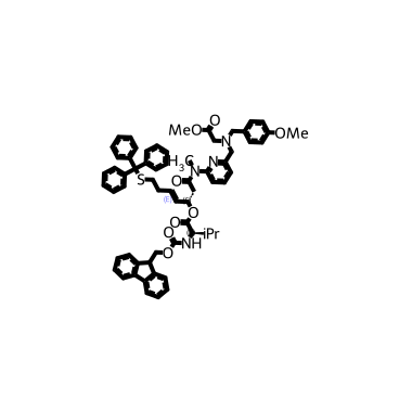 COC(=O)CN(Cc1ccc(OC)cc1)Cc1cccc(N(C)C(=O)C[C@@H](/C=C/CCSC(c2ccccc2)(c2ccccc2)c2ccccc2)OC(=O)[C@H](NC(=O)OCC2c3ccccc3-c3ccccc32)C(C)C)n1